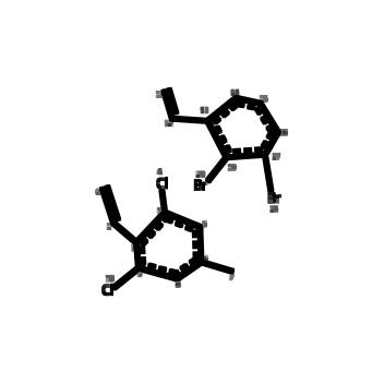 C=Cc1c(Cl)cc(C)cc1Cl.C=Cc1cccc(Br)c1Br